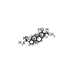 CNC1CC2CC[C@H]3[C@@H]4CC[C@H](C(C)=O)[C@@]4(C)CC[C@@H]3[C@@]2(C)CC1O